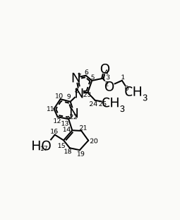 CCOC(=O)c1cnn(-c2cccc(C3=C(CO)CCCC3)n2)c1CC